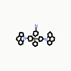 N#Cc1ccc([Si](c2ccccc2)(c2ccc(-n3c4cccc5ccc6cccc3c6c54)cc2)c2ccc(-n3c4cccc5ccc6cccc3c6c54)cc2)cc1